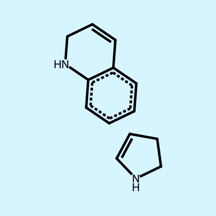 C1=CNCC1.C1=Cc2ccccc2NC1